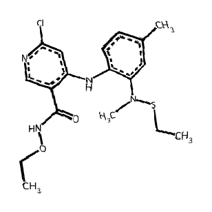 CCONC(=O)c1cnc(Cl)cc1Nc1ccc(C)cc1N(C)SCC